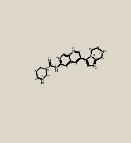 O=C(Nc1cc2cc(-c3cnc4n3CCNC4)cnc2cn1)[C@@H]1CCCNC1